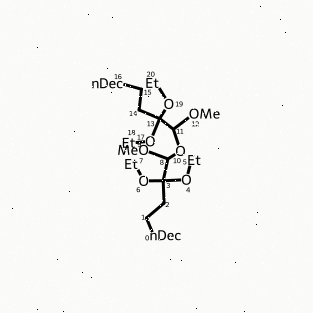 CCCCCCCCCCCCC(OCC)(OCC)C(OC)OC(OC)C(CCCCCCCCCCCC)(OCC)OCC